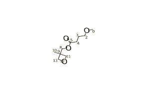 COCCCC(=O)OCC1(C)COC1